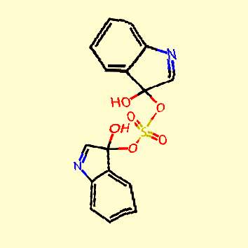 O=S(=O)(OC1(O)C=Nc2ccccc21)OC1(O)C=Nc2ccccc21